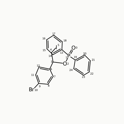 O=P(OC(CI)c1ccc(Br)cc1)(c1ccccc1)c1ccccc1